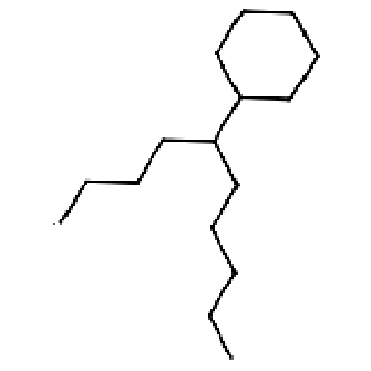 [CH2]CCCC(CCCCC)C1CCCCC1